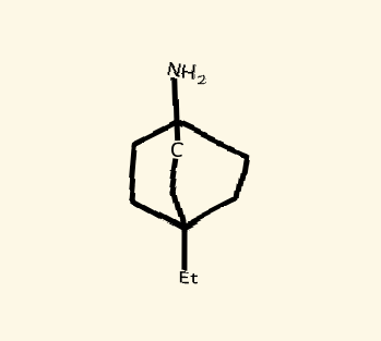 CCC12CCC(N)(CC1)CC2